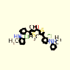 Cc1ccccc1Nc1cccc(-c2csc(C(=O)c3scc(-c4cccc(Nc5ccccc5C)c4Cl)c3C)c2C)c1Cl